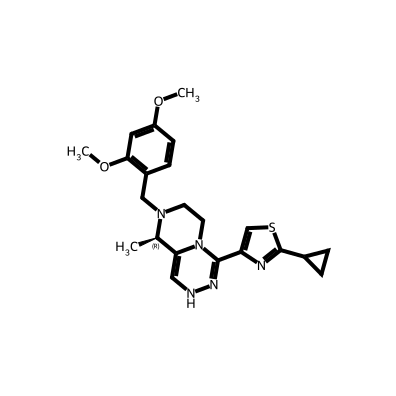 COc1ccc(CN2CCN3C(=CNN=C3c3csc(C4CC4)n3)[C@H]2C)c(OC)c1